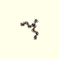 C=C(C)C(=O)OCCC[Si](C)(O[Si](C)(C)CC[Si](C)(C)O[Si](C)(C)CC[Si](C)(C)O[Si](C)(C)CC[Si](C)(C)O[Si](C)(C)C)O[Si](C)(C)CC[Si](C)(C)O[Si](C)(C)CC[Si](C)(C)O[Si](C)(C)CC[Si](C)(C)O[Si](C)(C)C